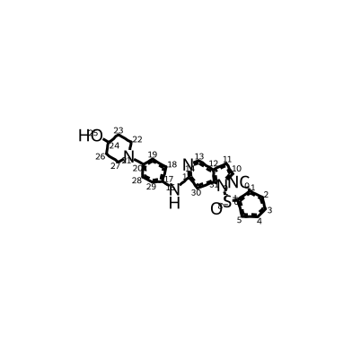 N#Cc1ccccc1[S+]([O-])n1ccc2cnc(Nc3ccc(N4CCC(O)CC4)cc3)cc21